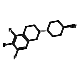 CCC[C@H]1CC[C@H](C2CCc3c(cc(F)c(F)c3F)C2)CC1